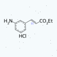 CCOC(=O)/C=C/c1cccc(N)c1.Cl